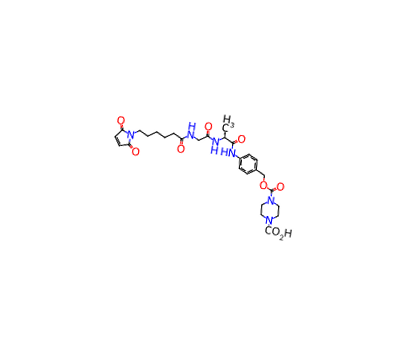 C[C@H](NC(=O)CNC(=O)CCCCCN1C(=O)C=CC1=O)C(=O)Nc1ccc(COC(=O)N2CCN(C(=O)O)CC2)cc1